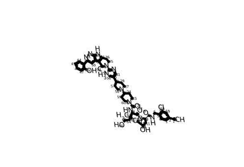 C#Cc1ccc(CNC(=O)[C@@H]2C[C@@H](O)CN2C(=O)[C@@H](NC(=O)N2CCC(N3CCC(c4cnc(N5CCc6[nH]c7nnc(-c8ccccc8O)cc7c6[C@H]5C)nc4)CC3)CC2)C(C)(C)CCO)c(Cl)c1